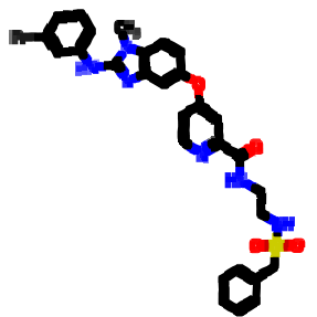 CC(C)c1cccc(Nc2nc3cc(Oc4ccnc(C(=O)NCCNS(=O)(=O)Cc5ccccc5)c4)ccc3n2C)c1